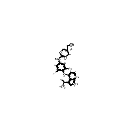 C[C@@H](c1c[nH]c2nccc(Oc3c(F)cc(NC4=NC[C@](F)(CO)CO4)cc3F)c12)C(F)(F)F